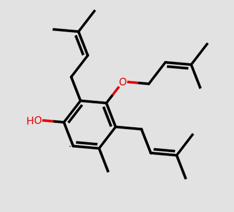 CC(C)=CCOc1c(CC=C(C)C)c(C)[c]c(O)c1CC=C(C)C